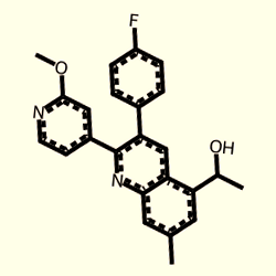 COc1cc(-c2nc3cc(C)cc(C(C)O)c3cc2-c2ccc(F)cc2)ccn1